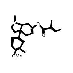 C/C=C(\C)C(=O)OC1=CCC2(c3ccc(OC)c(C)c3)CCN(C)C2C1